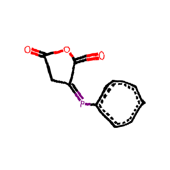 O=C1CC(=Pc2ccccc2)C(=O)O1